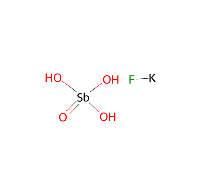 [F][K].[O]=[Sb]([OH])([OH])[OH]